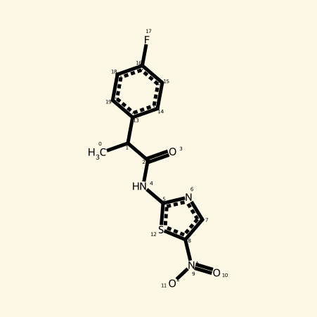 CC(C(=O)Nc1ncc([N+](=O)[O-])s1)c1ccc(F)cc1